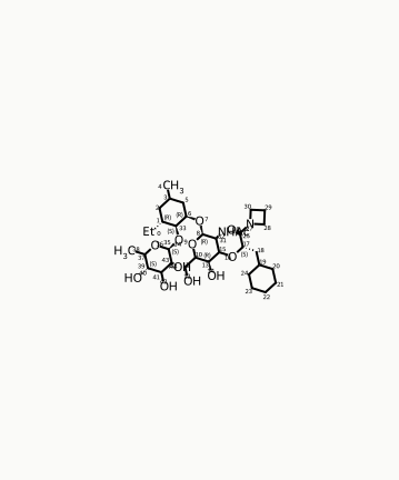 CC[C@@H]1CC(C)C[C@@H](O[C@@H]2OC(CO)[C@H](O)C(O[C@@H](CC3CCCCC3)C(=O)N3CCC3)C2NC(C)=O)[C@H]1O[C@@H]1OC(C)[C@@H](O)C(O)[C@@H]1O